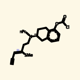 C#C/C=C(/CCN(CCC)[C@H]1CCc2c(cccc2OC(=O)Cl)C1)SC